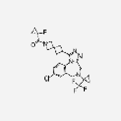 O=C(N1CC2(CC(c3nnc4n3-c3ccc(Cl)cc3CN(C3(C(F)(F)F)CC3)C4)C2)C1)C1(F)CC1